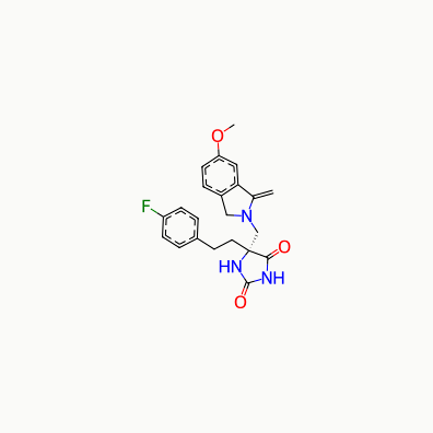 C=C1c2cc(OC)ccc2CN1C[C@@]1(CCc2ccc(F)cc2)NC(=O)NC1=O